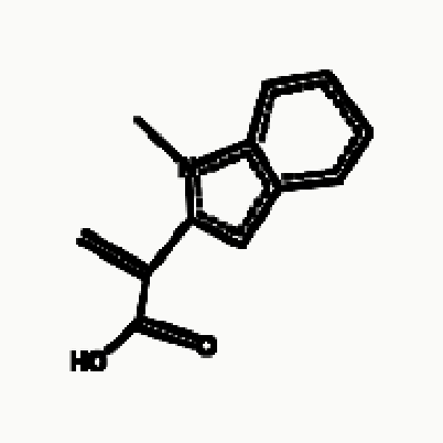 C=C(C(=O)O)c1cc2ccccc2n1C